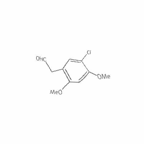 COc1cc(OC)c(CC=O)cc1Cl